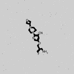 N#Cc1cc(OC/C(=C/F)CN)cnc1N1CCN(C2COC2)CC1